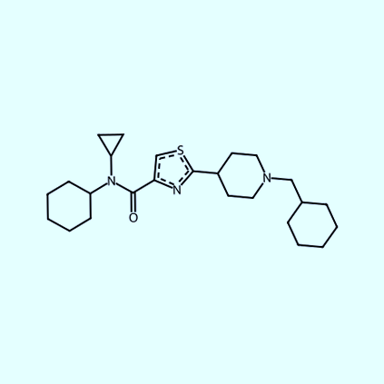 O=C(c1csc(C2CCN(CC3CCCCC3)CC2)n1)N(C1CCCCC1)C1CC1